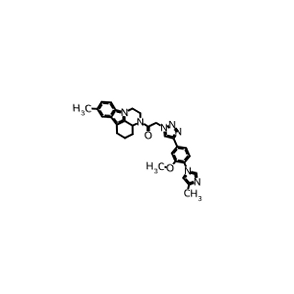 COc1cc(-c2cn(CC(=O)N3CCn4c5c(c6cc(C)ccc64)CCCC53)nn2)ccc1-n1cnc(C)c1